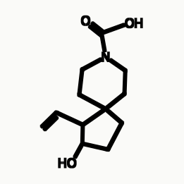 C=CC1C(O)CCC12CCN(C(=O)O)CC2